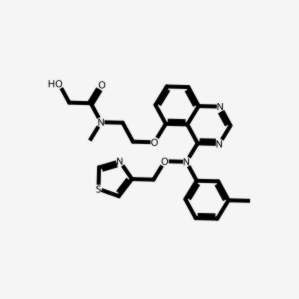 Cc1cccc(N(OCc2cscn2)c2ncnc3cccc(OCCN(C)C(=O)CO)c23)c1